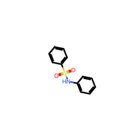 O=S(=O)(Nc1ccccc1)c1cc[c]cc1